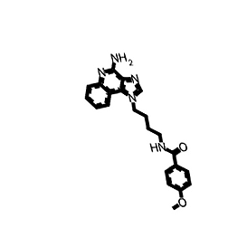 COc1ccc(C(=O)NCCCCn2cnc3c(N)nc4ccccc4c32)cc1